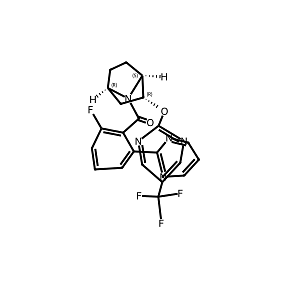 O=C(c1c(F)cccc1-c1ncccn1)N1[C@@H]2CC[C@H]1[C@H](Oc1ncc(C(F)(F)F)cn1)C2